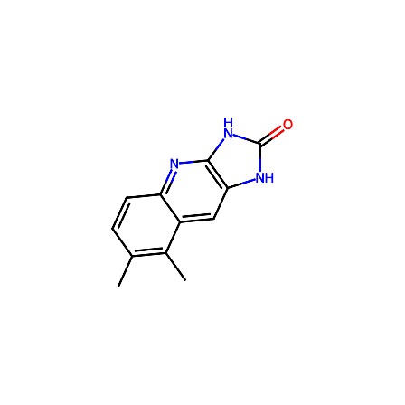 Cc1ccc2nc3[nH]c(=O)[nH]c3cc2c1C